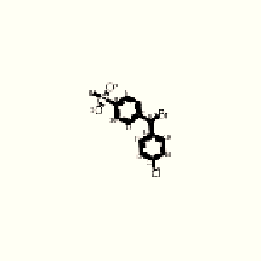 CS(=O)(=O)c1ccc(C(Br)c2ccc(Cl)cc2)cc1